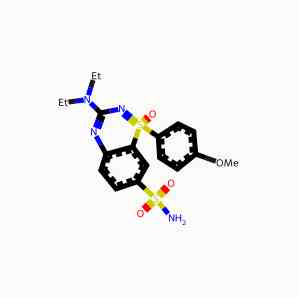 CCN(CC)C1=Nc2ccc(S(N)(=O)=O)cc2S(=O)(c2ccc(OC)cc2)=N1